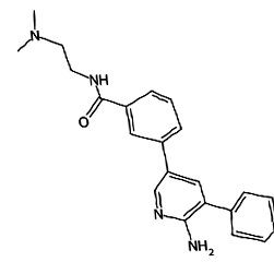 CN(C)CCNC(=O)c1cccc(-c2cnc(N)c(-c3ccncc3)c2)c1